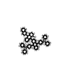 CC1C=CC=C2C(c3ccc4ccccc4c3)=c3ccccc3=C(c3ccc4c(-c5ccc(N(c6ccccc6)c6ccccc6)cc5)c5ccccc5c(-c5ccc(N(c6ccccc6)c6ccccc6)cc5)c4c3)C21